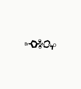 CC(=O)N1CCCN(S(=O)(=O)c2ccc(Br)cc2)CC1